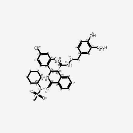 CS(=O)(=O)N[C@H]1CCCC[C@@H]1N1C(=O)c2ccccc2[C@@H](C(=O)NOCc2ccc(O)c(C(=O)O)c2)[C@@H]1c1ccc(Cl)cc1Cl